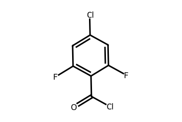 O=C(Cl)c1c(F)cc(Cl)cc1F